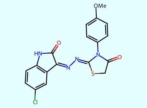 COc1ccc(N2C(=O)CSC2=NN=C2C(=O)Nc3ccc(Cl)cc32)cc1